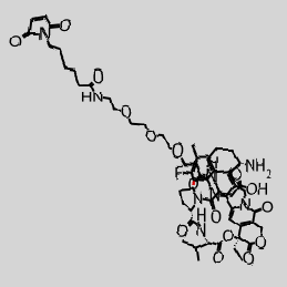 CC[C@@]1(OC(=O)[C@@H](NC(=O)[C@@H]2CCCN2C(=O)[C@H](CC(=O)O)NC(=O)CCOCCOCCOCCNC(=O)CCCCCN2C(=O)C=CC2=O)C(C)C)C(=O)OCc2c1cc1n(c2=O)Cc2c-1nc1cc(F)c(C)c3c1c2[C@@H](N)CC3